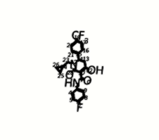 O=C(Nc1ccc(F)cc1)C1=C(O)CC(c2ccc(C(F)(F)F)cc2)N(CC2CC2)C1=O